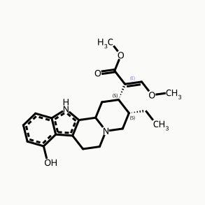 CC[C@@H]1CN2CCc3c([nH]c4cccc(O)c34)C2C[C@@H]1/C(=C\OC)C(=O)OC